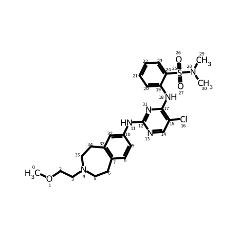 COCCN1CCc2ccc(Nc3ncc(Cl)c(Nc4ccccc4S(=O)(=O)N(C)C)n3)cc2CC1